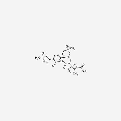 CC1=C(C(=O)O)CC1(C)N1C=C2CC(C)(C)CC[C@@]2(c2ccc(CCC(C)(C)C)c(Cl)c2)NC1=O